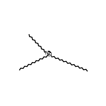 CCCCCCCCCCCCCCCCCCCn1cc[n+](CCCCCCCCCCCC)c1CCCCCCCCCCCCCCC